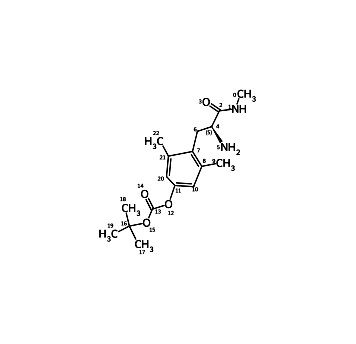 CNC(=O)[C@@H](N)Cc1c(C)cc(OC(=O)OC(C)(C)C)cc1C